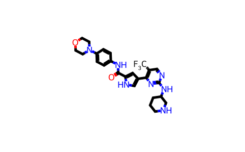 O=C(Nc1ccc(N2CCOCC2)cc1)c1cc(-c2nc(NC3CCCNC3)ncc2C(F)(F)F)c[nH]1